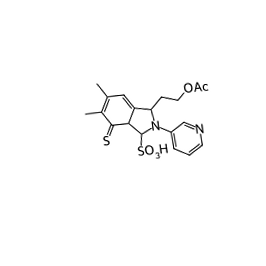 CC(=O)OCCC1C2=CC(C)=C(C)C(=S)C2C(S(=O)(=O)O)N1c1cccnc1